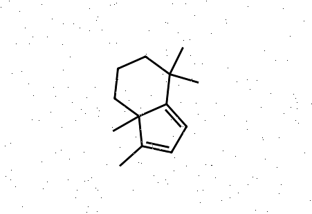 CC1=CC=C2C(C)(C)CCCC12C